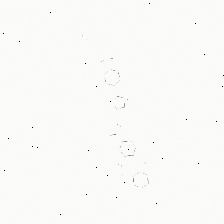 NCCCS(=O)(=O)c1ccc(-c2ncc(CNC(=O)c3ccc4c(c3)NC(=O)c3ccccc3S4(=O)=O)s2)cc1